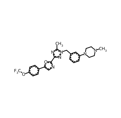 Cc1nc(-c2ncc(-c3ccc(OC(F)(F)F)cc3)o2)nn1Cc1cccc(N2CCN(C)CC2)c1